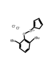 CC(C)(C)c1cccc(C(C)(C)C)c1[O][Zr+2][C]1=CC=CC1.[Cl-].[Cl-]